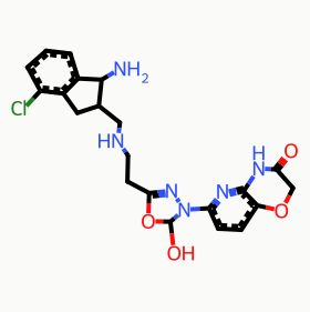 NC1c2cccc(Cl)c2CC1CNCCC1=NN(c2ccc3c(n2)NC(=O)CO3)C(O)O1